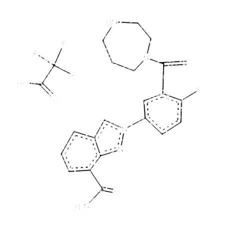 NC(=O)c1cccc2cn(-c3ccc(F)c(C(=O)N4CCCNCC4)c3)nc12.O=C(O)C(F)(F)F